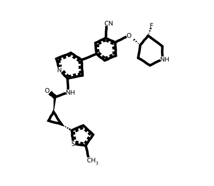 Cc1ccc([C@@H]2C[C@H]2C(=O)Nc2cc(-c3ccc(O[C@H]4CCNC[C@H]4F)c(C#N)c3)ccn2)s1